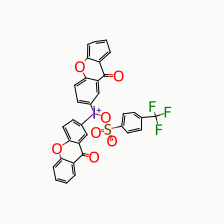 O=c1c2ccccc2oc2ccc([I+](OS(=O)(=O)c3ccc(C(F)(F)F)cc3)c3ccc4oc5ccccc5c(=O)c4c3)cc12